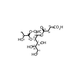 CC(O)C(=O)O[C@@H]([C@H](O)[C@H](O)CO)[C@H](C=O)OC(=O)CCC(=O)O